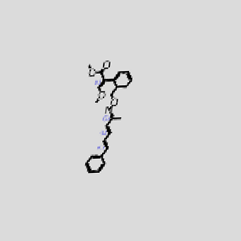 CO/C=C(/C(=O)OC)c1ccccc1CO/N=C(C)/C=C/C=C/c1ccccc1